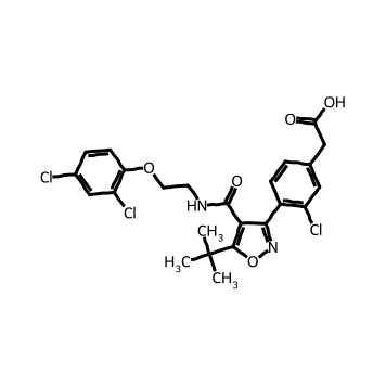 CC(C)(C)c1onc(-c2ccc(CC(=O)O)cc2Cl)c1C(=O)NCCOc1ccc(Cl)cc1Cl